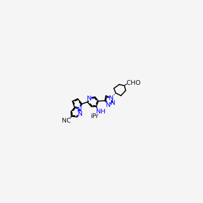 CC(C)Nc1cc(-c2ccc3cc(C#N)cnn23)ncc1-c1cn([C@H]2CC[C@H](C=O)CC2)nn1